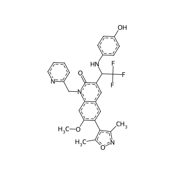 COc1cc2c(cc1-c1c(C)noc1C)cc(C(Nc1ccc(O)cc1)C(F)(F)F)c(=O)n2Cc1ccccn1